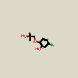 CC(C)(O)COc1ccc(Br)cc1O